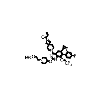 C=CC(=O)N1CC2(CCN(c3nc(OC4CCN(CCOC)CC4)nc4c(OCC(F)(F)F)c(-c5ccc(F)cc5F)c(C5CC5)cc34)CC2)C1